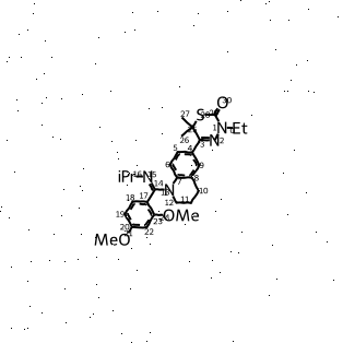 CCN1N=C(c2ccc3c(c2)CCCN3C(=NC(C)C)c2ccc(OC)cc2OC)C(C)(C)SC1=O